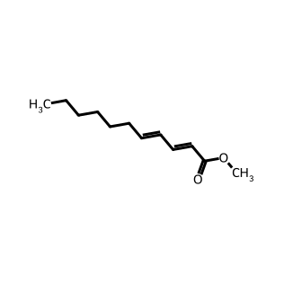 CCCCCCC=CC=CC(=O)OC